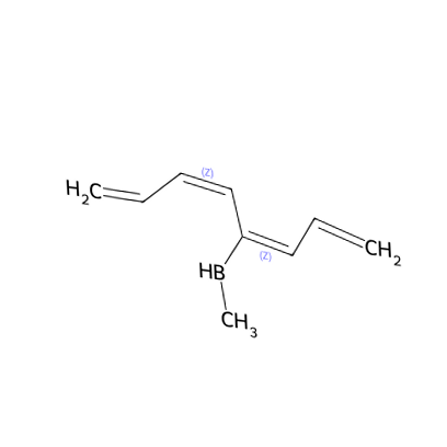 C=C/C=C\C(BC)=C/C=C